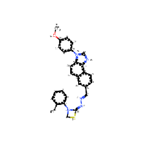 CC(C)c1ccccc1N1CSC1=NN=Cc1ccc2c(ccc3c2ncn3-c2ccc(OC(F)(F)F)cc2)c1